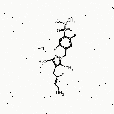 Cc1nn(Cc2cc(F)c(S(=O)(=O)N(C)C)cc2F)c(C)c1CC(F)=CCN.Cl